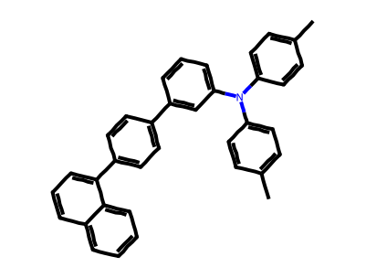 Cc1ccc(N(c2ccc(C)cc2)c2cccc(-c3ccc(-c4cccc5ccccc45)cc3)c2)cc1